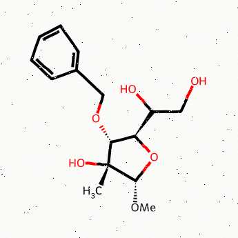 CO[C@H]1O[C@H](C(O)CO)[C@@H](OCc2ccccc2)[C@@]1(C)O